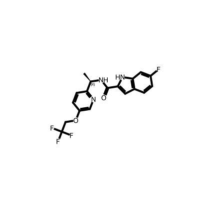 C[C@@H](NC(=O)c1cc2ccc(F)cc2[nH]1)c1ccc(OCC(F)(F)F)cn1